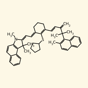 C=C(/C=C/C1=C(SC2CCCC2)C(=C/C=C2/N(C)c3ccc4ccccc4c3C2(C)C)/CCC1)C(C)(C)c1c(C)ccc2ccccc12